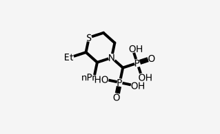 CCCC1C(CC)SCCN1C(P(=O)(O)O)P(=O)(O)O